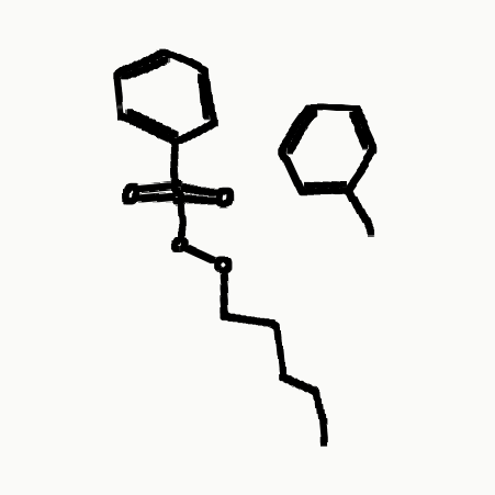 CCCCCOOS(=O)(=O)c1ccccc1.Cc1ccccc1